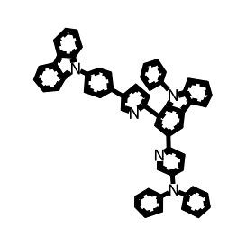 c1ccc(N(c2ccccc2)c2ccc(-c3cc(-c4ccc(-c5ccc(-n6c7ccccc7c7ccccc76)cc5)cn4)c4c(c3)c3ccccc3n4-c3ccccc3)nc2)cc1